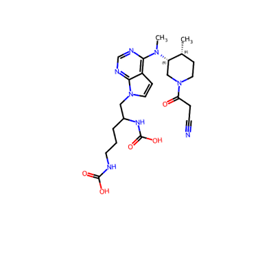 C[C@@H]1CCN(C(=O)CC#N)C[C@@H]1N(C)c1ncnc2c1ccn2CC(CCCNC(=O)O)NC(=O)O